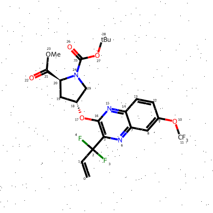 C=CC(F)(F)c1nc2cc(OC(F)(F)F)ccc2nc1O[C@@H]1C[C@@H](C(=O)OC)N(C(=O)OC(C)(C)C)C1